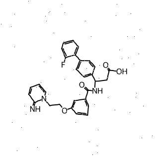 N=c1ccccn1CCOc1cccc(C(=O)NC(CC(=O)O)c2ccc(-c3ccccc3F)cc2)c1